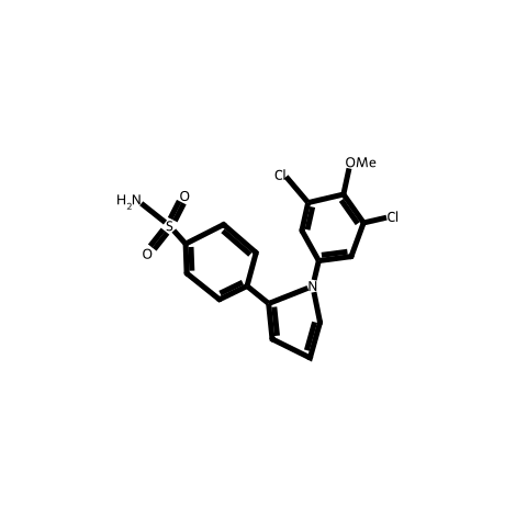 COc1c(Cl)cc(-n2cccc2-c2ccc(S(N)(=O)=O)cc2)cc1Cl